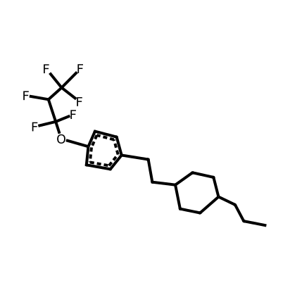 CCCC1CCC(CCc2ccc(OC(F)(F)C(F)C(F)(F)F)cc2)CC1